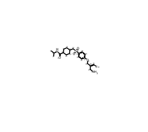 CC(C)NC(=O)C1CCC(CS(=O)(=O)c2ccc(OCC(=CF)CN)cc2)CC1